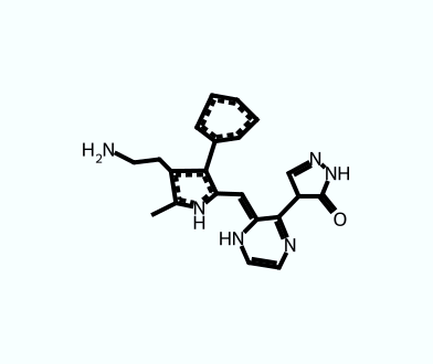 Cc1[nH]c(C=C2NC=CN=C2C2C=NNC2=O)c(-c2ccccc2)c1CCN